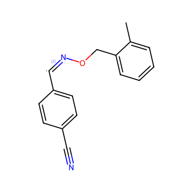 Cc1ccccc1CO/N=[C]\c1ccc(C#N)cc1